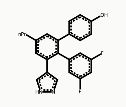 CCCc1cc(-c2ccc(O)cc2)c(-c2cc(F)cc(F)c2)c(-c2cn[nH]c2)c1